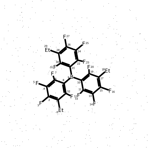 CCc1c(F)c(F)c(F)c(B(c2c(F)c(F)c(F)c(CC)c2F)c2c(F)c(F)c(F)c(CC)c2F)c1F